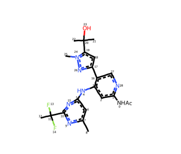 CC(=O)Nc1cc(Nc2cc(C)nc(C(C)(F)F)n2)c(-c2cc(C(C)(C)O)n(C)n2)cn1